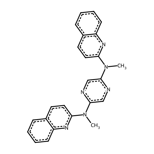 CN(c1cnc(N(C)c2ccc3ccccc3n2)cn1)c1ccc2ccccc2n1